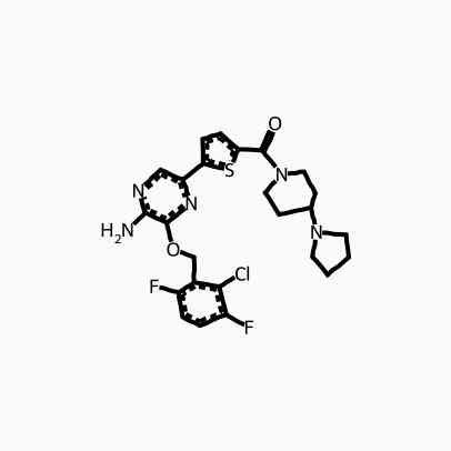 Nc1ncc(-c2ccc(C(=O)N3CCC(N4CCCC4)CC3)s2)nc1OCc1c(F)ccc(F)c1Cl